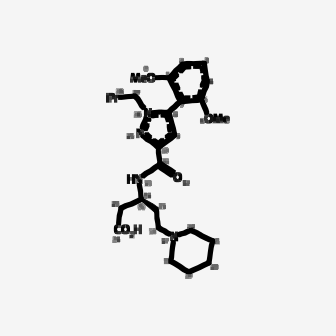 COc1cccc(OC)c1-c1cc(C(=O)N[C@@H](CCN2CCCCC2)CC(=O)O)nn1CC(C)C